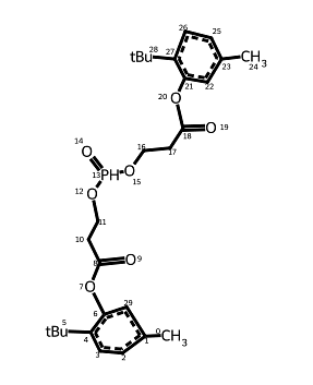 Cc1ccc(C(C)(C)C)c(OC(=O)CCO[PH](=O)OCCC(=O)Oc2cc(C)ccc2C(C)(C)C)c1